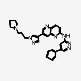 c1ccc(-c2cnnc(Nc3ccc4ncc(-c5cnn(CCCN6CCCC6)c5)cc4n3)c2)cc1